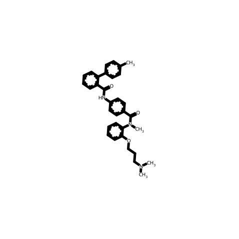 Cc1ccc(-c2ccccc2C(=O)Nc2ccc(C(=O)N(C)c3ccccc3OCCCN(C)C)cc2)cc1